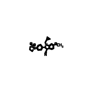 COc1ccc2c(c1)N(CC1CC1)C(c1ccc(N3CCCS3(=O)=O)cc1)C2C#N